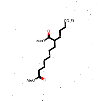 CCOC(=O)CCCC(C[CH]CCCCC(=O)OC)C(=O)OC